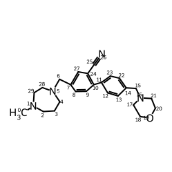 CN1CCCN(Cc2ccc(-c3ccc(CN4CCOCC4)cc3)c(C#N)c2)CC1